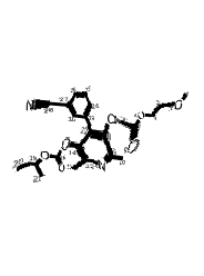 COCCOC(=O)Oc1c(C)nc(C)c(OC(=O)OC(C)C)c1-c1cccc(C#N)c1